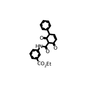 CCOC(=O)c1cccc(NC(=O)C2C(=O)C=CC(c3ccccc3)C2=O)c1